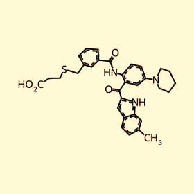 Cc1ccc2cc(C(=O)c3cc(N4CCCCC4)ccc3NC(=O)c3cccc(CSCCC(=O)O)c3)[nH]c2c1